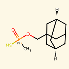 C[P@@](=O)(S)OCC12CC3C[C@H](C1)C[C@@H](C3)C2